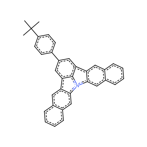 CC(C)(C)c1ccc(-c2cc3c4cc5ccccc5cc4n4c5cc6ccccc6cc5c(c2)c34)cc1